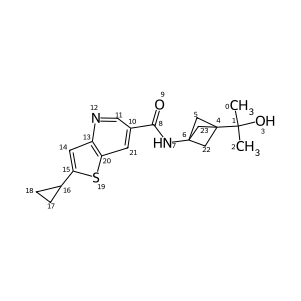 CC(C)(O)C12CC(NC(=O)c3cnc4cc(C5CC5)sc4c3)(C1)C2